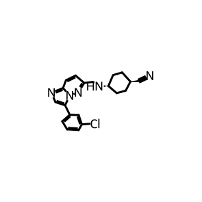 N#C[C@H]1CC[C@H](NCc2ccc3ncc(-c4cccc(Cl)c4)n3n2)CC1